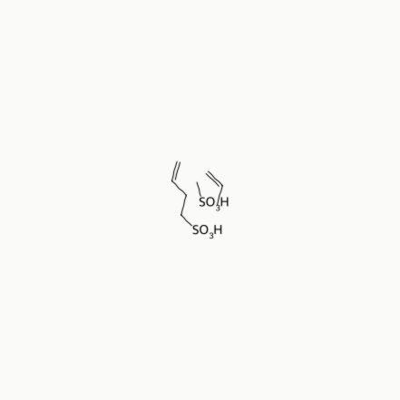 C=CC.C=CCCS(=O)(=O)O.CS(=O)(=O)O